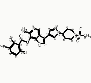 C[C@@H](Oc1c(N)ncc2c(-c3cnn(C4CCN(S(C)(=O)=O)CC4)c3)coc12)c1c(Cl)ccc(F)c1Cl